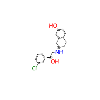 Oc1ccc2c(c1)C[C@@H](NC[C@H](O)c1cccc(Cl)c1)CC2